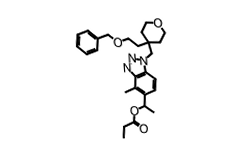 CCC(=O)OC(C)c1ccc2c(nnn2CC2(CCOCc3ccccc3)CCOCC2)c1C